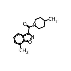 Cc1cccc2c(C(=O)N3CCC(C)CC3)noc12